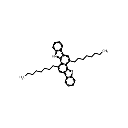 CCCCCCCCc1cc2c3ccccc3sc2c2c(CCCCCCCC)cc3c4ccccc4[nH]c3c12